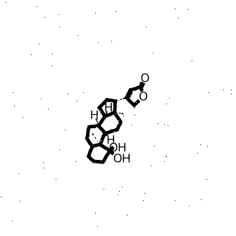 C[C@]12CC[C@H]3[C@@H](CCC4CCCC(O)(O)[C@@]43C)[C@H]1CC[C@@H]2C1=CC(=O)OC1